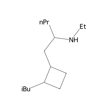 CCCC(CC1CCC1C(C)CC)NCC